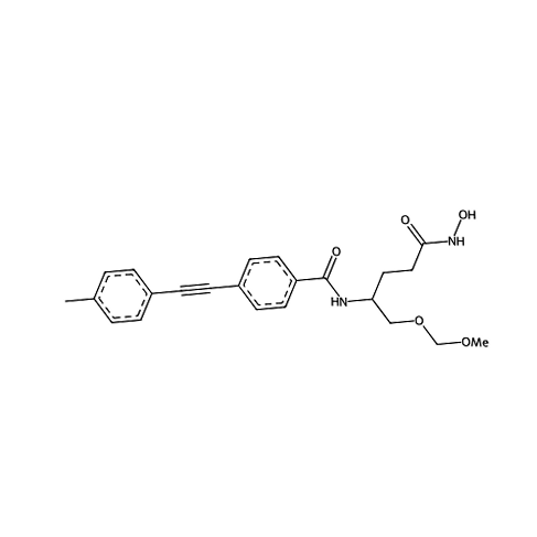 COCOCC(CCC(=O)NO)NC(=O)c1ccc(C#Cc2ccc(C)cc2)cc1